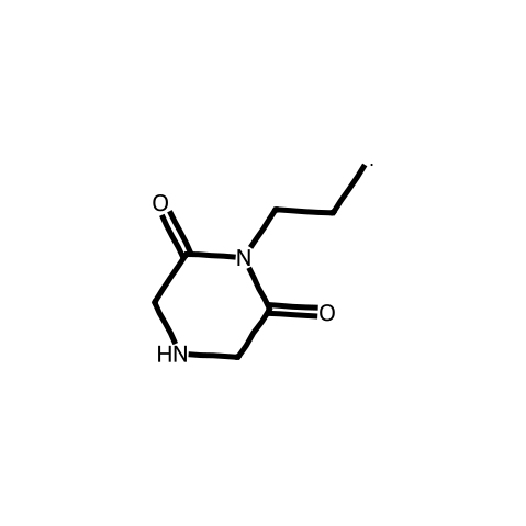 [CH2]CCN1C(=O)CNCC1=O